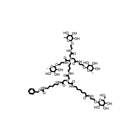 C[C@@H]1O[C@@H](OCCNC(=O)CN(CC(=O)NCCO[C@@H]2O[C@@H](C)[C@@H](O)[C@@H](O)[C@@H]2O)[C@@H](CCCCNC(=O)CN(CC(=O)NCCCCCNC(=O)OCc2ccccc2)CC(=O)NCCCCCC(=O)NCCO[C@H]2O[C@H](CO)[C@@H](O)[C@H](O)[C@H]2O)C(=O)NCCO[C@@H]2O[C@@H](C)[C@@H](O)[C@@H](O)[C@@H]2O)[C@@H](O)[C@H](O)[C@@H]1O